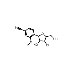 COc1cc(C#N)ccc1C1OC(CO)C(O)C1O